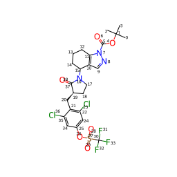 CC(C)(C)OC(=O)n1ncc2c1CCCC2N1CC[C@@H](Cc2c(Cl)cc(OS(=O)(=O)C(F)(F)F)cc2Cl)C1=O